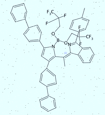 C/C(=C1/N=C(c2ccc(C)cc2)c2ccccc21)c1c(-c2ccc(-c3ccccc3)cc2)cc(-c2ccc(-c3ccccc3)cc2)n1B(OCC(F)(F)C(F)(F)F)OCC(F)(F)C(F)(F)F